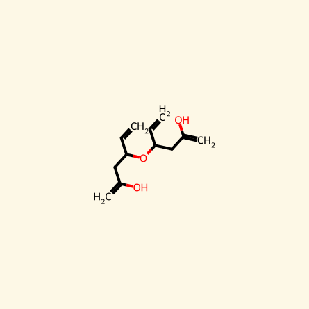 C=CC(CC(=C)O)OC(C=C)CC(=C)O